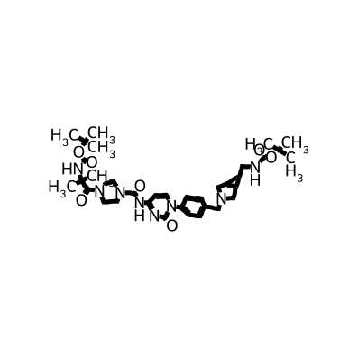 CC(C)(C)OC(=O)NCC1C2CN(Cc3ccc(-n4ccc(NC(=O)N5CCN(C(=O)C(C)(C)NC(=O)OC(C)(C)C)CC5)nc4=O)cc3)CC12